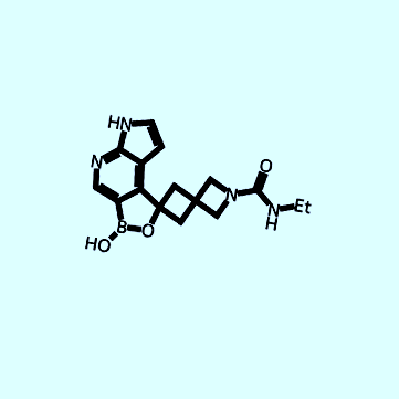 CCNC(=O)N1CC2(C1)CC1(C2)OB(O)c2cnc3[nH]ccc3c21